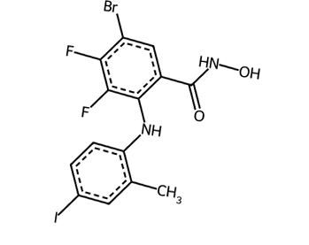 Cc1cc(I)ccc1Nc1c(C(=O)NO)cc(Br)c(F)c1F